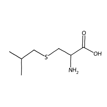 CC(C)CSCC(N)C(=O)O